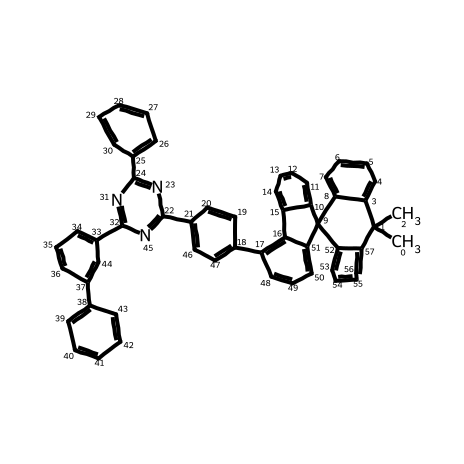 CC1(C)c2ccccc2C2(c3ccccc3-c3c(-c4ccc(-c5nc(-c6ccccc6)nc(-c6cccc(-c7ccccc7)c6)n5)cc4)cccc32)c2ccccc21